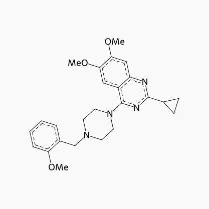 COc1ccccc1CN1CCN(c2nc(C3CC3)nc3cc(OC)c(OC)cc23)CC1